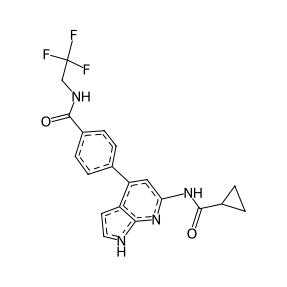 O=C(NCC(F)(F)F)c1ccc(-c2cc(NC(=O)C3CC3)nc3[nH]ccc23)cc1